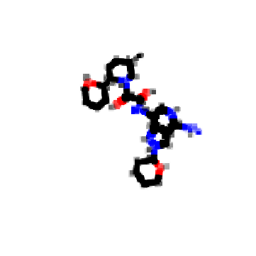 C[C@H]1CC[C@H](C2CCCCO2)N(C(=O)C(=O)Nc2cnc(N)c3cn(C4CCCCO4)nc23)C1